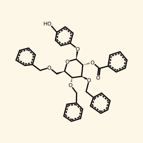 O=C(O[C@H]1[C@H](Oc2ccc(O)cc2)O[C@H](COCc2ccccc2)[C@@H](OCc2ccccc2)[C@@H]1OCc1ccccc1)c1ccccc1